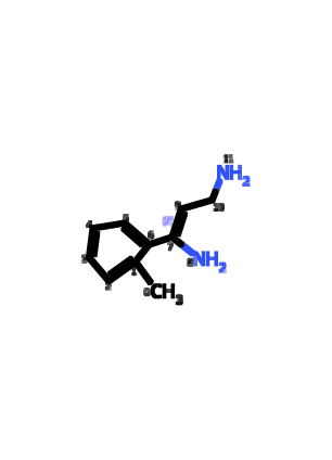 Cc1ccccc1/C(N)=C/CN